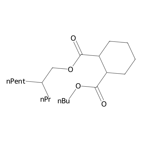 CCCCCC(CCC)COC(=O)C1CCCCC1C(=O)OCCCC